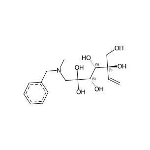 C=C[C@@](O)(CO)[C@@H](O)[C@H](O)C(O)(O)CN(C)Cc1ccccc1